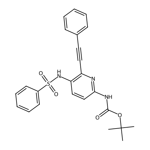 CC(C)(C)OC(=O)Nc1ccc(NS(=O)(=O)c2ccccc2)c(C#Cc2ccccc2)n1